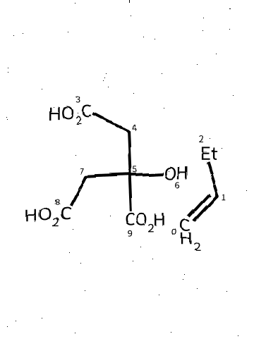 C=CCC.O=C(O)CC(O)(CC(=O)O)C(=O)O